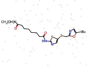 CN(O)C(=O)CCCCCCC(=O)Nc1ncc(SCc2ncc(C(C)(C)C)o2)s1